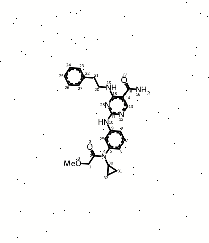 COCC(=O)N(c1cccc(Nc2ncc(C(N)=O)c(NCCc3ccccc3)n2)c1)C1CC1